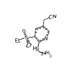 CCS(=O)(=O)c1cc(CC#N)cnc1NN